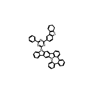 C1=Cc2c(sc3ccc(-c4nc(-c5ccccc5)nc(-n5c6ccccc6c6cc7c(cc65)c5cccc6c5n7-c5ccccc5-c5ccccc5-6)n4)cc23)CC1